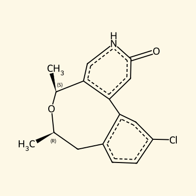 C[C@@H]1Cc2ccc(Cl)cc2-c2cc(=O)[nH]cc2[C@H](C)O1